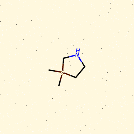 CS1(C)CCNC1